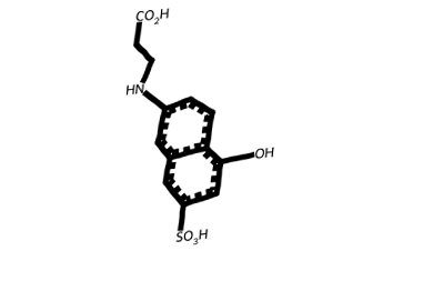 O=C(O)CCNc1ccc2c(O)cc(S(=O)(=O)O)cc2c1